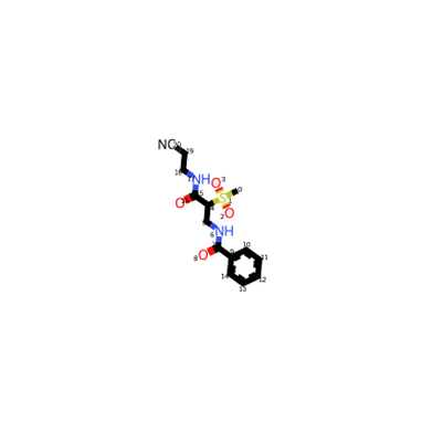 CS(=O)(=O)C(CNC(=O)c1ccccc1)C(=O)NCCC#N